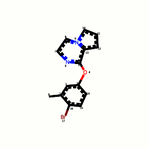 Cc1cc(Oc2nccn3cccc23)ccc1Br